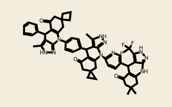 Cc1[nH]nc2c1C(c1ccccc1)C1=C(CC3(CCC3)CC1=O)N2c1ccc(C2C3=C(CC4(CC4)CC3=O)N(c3ccc(C4C5=C(CC(C)(C)CC5=O)Nc5n[nH]c(C(F)(F)F)c54)cn3)c3n[nH]c(C)c32)cc1